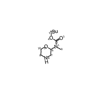 CN(C(=O)OC(C)(C)C)C1CNCCO1